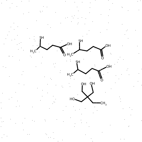 CC(S)CCC(=O)O.CC(S)CCC(=O)O.CC(S)CCC(=O)O.CCC(CO)(CO)CO